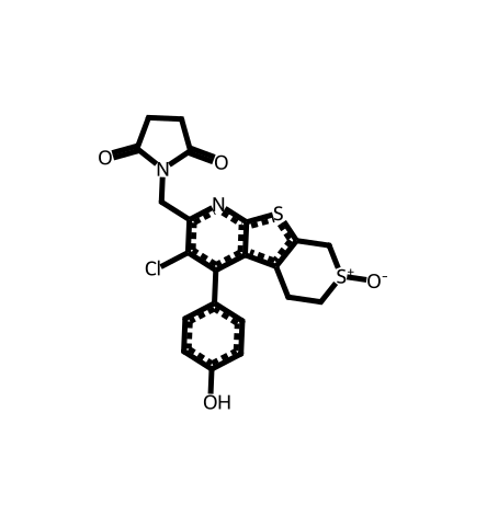 O=C1CCC(=O)N1Cc1nc2sc3c(c2c(-c2ccc(O)cc2)c1Cl)CC[S+]([O-])C3